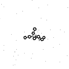 c1ccc(-c2ccc(N(c3ccc(-c4ccccc4)cc3)c3cccc4c3oc3ccc5c(sc6ccc7ccccc7c65)c34)cc2)cc1